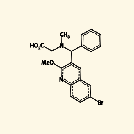 COc1nc2ccc(Br)cc2cc1C(c1ccccc1)N(C)CC(=O)O